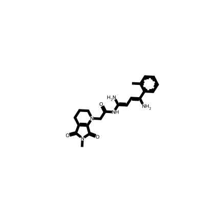 Cc1ccccc1/C(N)=C/C=C(\N)NC(=O)CN1CCCC2=C1C(=O)N(C)C2=O